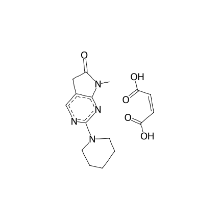 CN1C(=O)Cc2cnc(N3CCCCC3)nc21.O=C(O)/C=C\C(=O)O